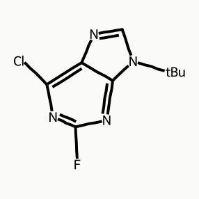 CC(C)(C)n1cnc2c(Cl)nc(F)nc21